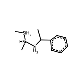 C[SiH2][SiH](C)[SiH2]C(C)c1ccccc1